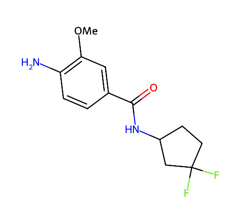 COc1cc(C(=O)NC2CCC(F)(F)C2)ccc1N